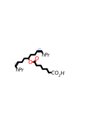 CCC/C=C\CCC(CC/C=C\CCC)OC(=O)CCCCCC(=O)O